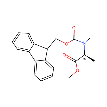 COC(=O)[C@H](C)N(C)C(=O)OCC1c2ccccc2-c2ccccc21